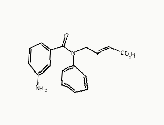 Nc1cccc(C(=O)N(CC=CC(=O)O)c2ccccc2)c1